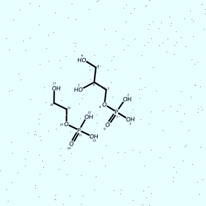 O=P(O)(O)OCC(O)CO.O=P(O)(O)OCCO